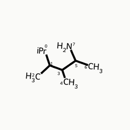 CC(C)C(C)C(C)C(C)N